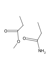 CCC(=O)OC.CCC(N)=O